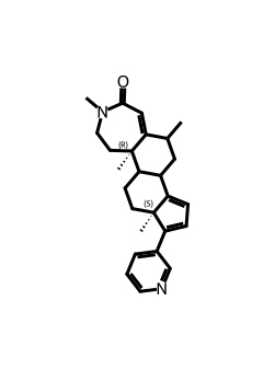 CC1CC2C3=CC=C(c4cccnc4)[C@@]3(C)CCC2[C@@]2(C)CCN(C)C(=O)C=C12